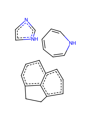 C1=CC=CNC=C1.c1c[nH]cn1.c1cc2c3c(cccc3c1)CC2